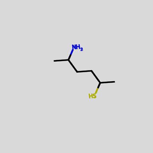 CC(N)CCC(C)S